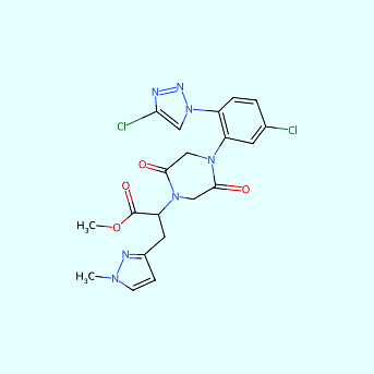 COC(=O)C(Cc1ccn(C)n1)N1CC(=O)N(c2cc(Cl)ccc2-n2cc(Cl)nn2)CC1=O